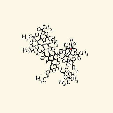 CCOC(=O)CN(C(=O)COCC(=O)OC(C)(C)C)c1c(I)c(C(=O)N(C)CC(OC(C)=O)C(OC(C)=O)C(OC(C)=O)C(COC(C)=O)OC(C)=O)c(I)c(C(=O)N(C)CC(OC(C)=O)C(OC(C)=O)C(OC(C)=O)C(COC(C)=O)OC(C)=O)c1I